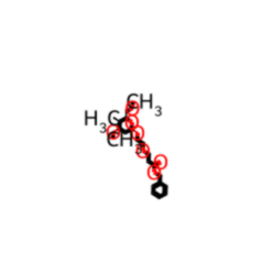 COC[C@H]1O[C@@H](OCCOCCC(=O)OCc2ccccc2)C[C@@H](OC)[C@H]1C